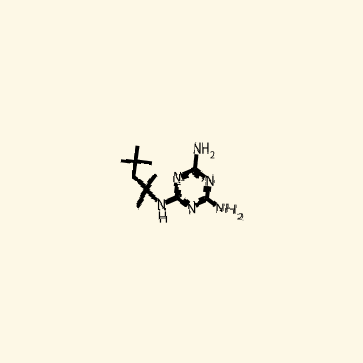 CC(C)(C)CC(C)(C)Nc1nc(N)nc(N)n1